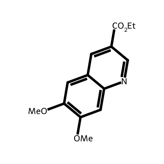 CCOC(=O)c1cnc2cc(OC)c(OC)cc2c1